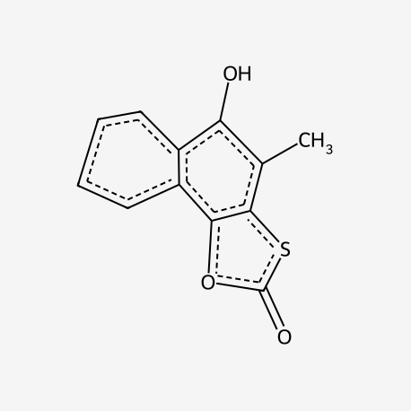 Cc1c(O)c2ccccc2c2oc(=O)sc12